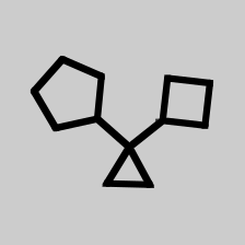 C1C[C](C2(C3CCCC3)CC2)C1